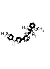 CC[C@](C)(CNc1cc(-c2ccc(NC3CCN(C)CC3)nc2)ncn1)c1ccccc1OC